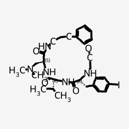 CC(C)[C@H]1NC(=O)[C@@H](Cc2ccc(I)cc2)NCCOc2ccccc2CCCNC(=O)[C@H](CN(C)C)NC1=O